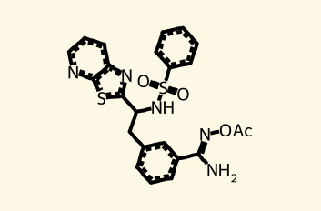 CC(=O)ON=C(N)c1cccc(CC(NS(=O)(=O)c2ccccc2)c2nc3cccnc3s2)c1